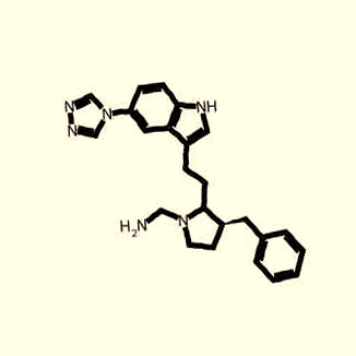 NCN1CC[C@H](Cc2ccccc2)C1CCc1c[nH]c2ccc(-n3cnnc3)cc12